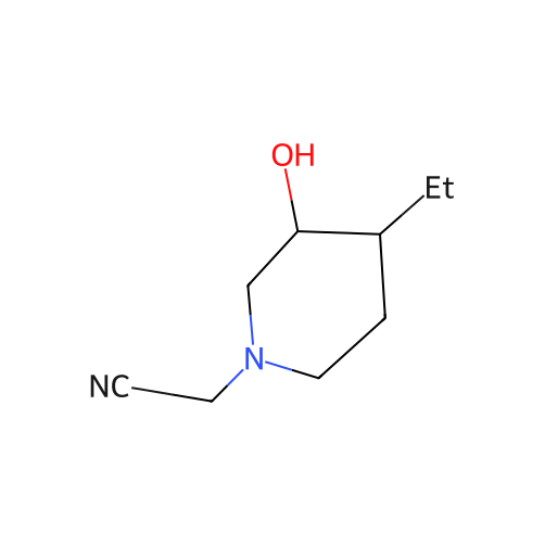 CCC1CCN(CC#N)CC1O